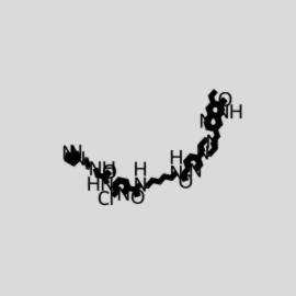 CCc1cc2ncc(CN3CCN(c4ccc(C(=O)NCCCCCNC(=O)c5ccc(NC(=O)CNCCn6ccnn6)c(Cl)n5)nc4)CC3)cc2[nH]c1=O